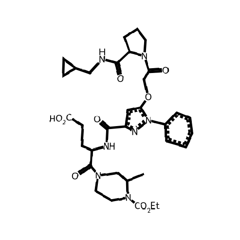 CCOC(=O)N1CCN(C(=O)C(CCC(=O)O)NC(=O)c2cc(OCC(=O)N3CCCC3C(=O)NCC3CC3)n(-c3ccccc3)n2)CC1C